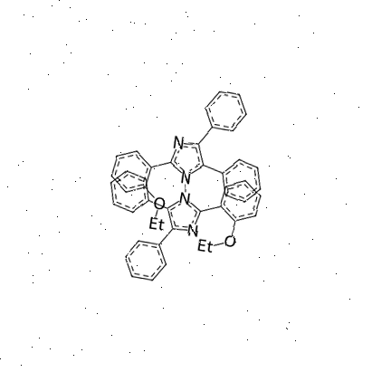 CCOc1ccccc1-c1nc(-c2ccccc2)c(-c2ccccc2)n1-n1c(-c2ccccc2OCC)nc(-c2ccccc2)c1-c1ccccc1